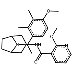 COc1ccc(C(C)N2C3CCC2CC(NC(=O)c2cccnc2OC)C3)c(C)c1C